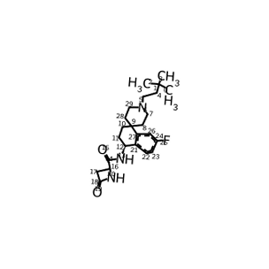 CC(C)(C)CCN1CCC2(CC[C@H](NC(=O)C3CC(=O)N3)c3ccc(F)cc32)CC1